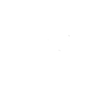 CCc1c2c(nc3ccc(CCC(=O)c4ccccc4)cc13)-c1cc3c(c(=O)n1C2)COC(=O)[C@]3(O)CC